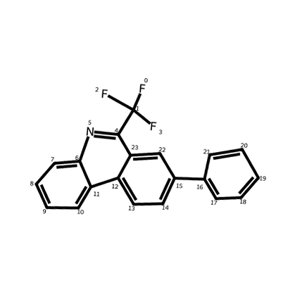 FC(F)(F)c1nc2ccccc2c2ccc(-c3ccccc3)cc12